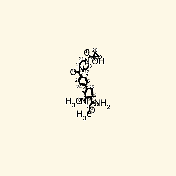 CNc1cc(-c2ccc(C(=O)N3CCN(C(=O)C4(O)CC4)CC3)cc2)ccc1C(N)COC